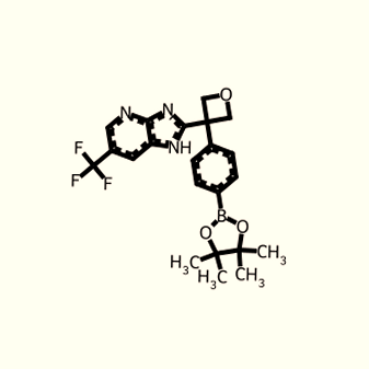 CC1(C)OB(c2ccc(C3(c4nc5ncc(C(F)(F)F)cc5[nH]4)COC3)cc2)OC1(C)C